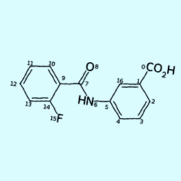 O=C(O)c1cccc(NC(=O)c2ccccc2F)c1